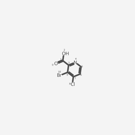 O=C(O)c1nccc(Cl)c1Br